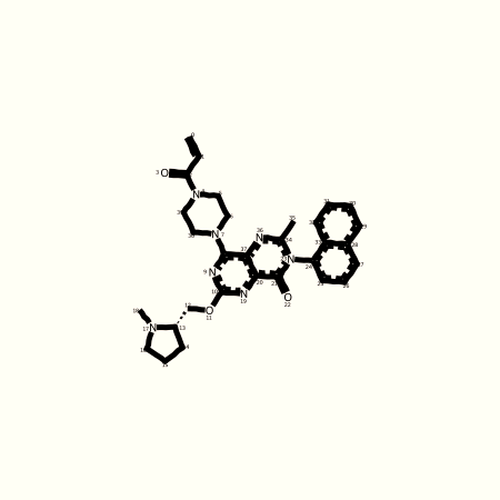 C=CC(=O)N1CCN(c2nc(OC[C@@H]3CCCN3C)nc3c(=O)n(-c4cccc5ccccc45)c(C)nc23)CC1